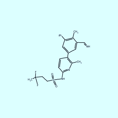 Cc1nc(NS(=O)(=O)CCC(C)(F)F)ccc1-c1cc(C=N)c(C)c(C(C)C)c1